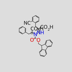 N#Cc1ccccc1C[C@H](NN(C(=O)OCC1c2ccccc2-c2ccccc21)[C@@H](Cc1ccccc1)C(=O)O)C(=O)O